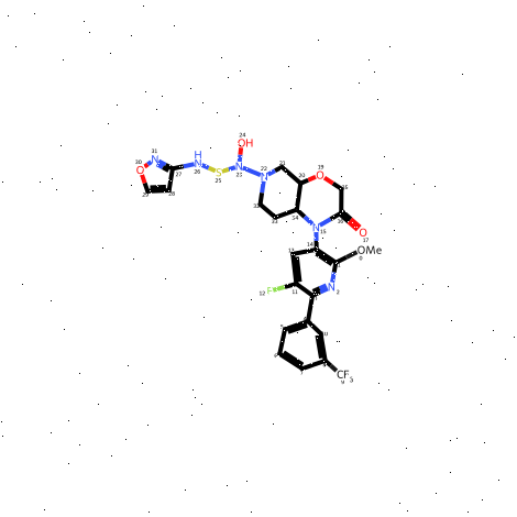 COc1nc(-c2cccc(C(F)(F)F)c2)c(F)cc1N1C(=O)COC2CN(N(O)SNc3ccon3)CCC21